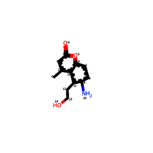 Cc1cc(=O)oc2ccc(N)c(CCO)c12